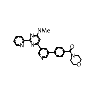 CNc1cc(-c2cncc(-c3ccc(C(=O)N4CCOCC4)cc3)c2)nc(-c2ccccn2)n1